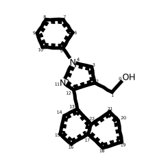 OCc1cn(-c2ccccc2)nc1-c1cccc2ccccc12